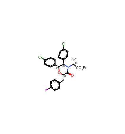 CCC[C@H](C(=O)OCC)N1C(=O)[C@H](Cc2ccc(I)cc2)O[C@@H](c2ccc(Cl)cc2)[C@H]1c1ccc(Cl)cc1